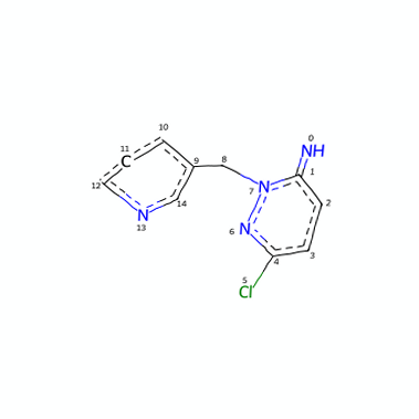 N=c1ccc(Cl)nn1Cc1cccnc1